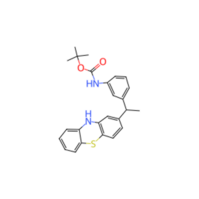 CC(c1cccc(NC(=O)OC(C)(C)C)c1)c1ccc2c(c1)Nc1ccccc1S2